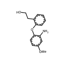 COc1ccc(Oc2ccccc2CCO)c(N)c1